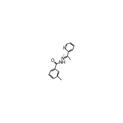 C/C(=N\NC(=O)c1cccc(C)c1)c1ccccn1